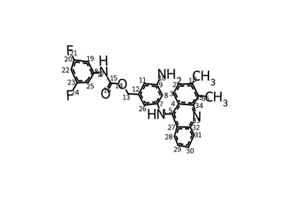 Cc1ccc2c(Nc3cc(N)cc(COC(=O)Nc4cc(F)cc(F)c4)c3)c3ccccc3nc2c1C